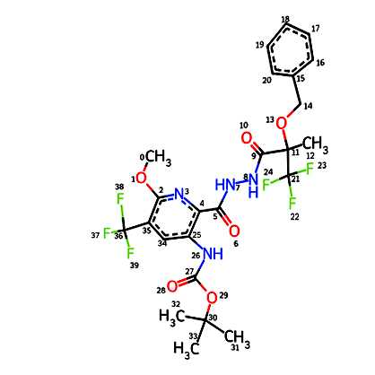 COc1nc(C(=O)NNC(=O)C(C)(OCc2ccccc2)C(F)(F)F)c(NC(=O)OC(C)(C)C)cc1C(F)(F)F